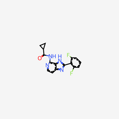 O=C(Nc1nccc2nc(-c3c(F)cccc3F)[nH]c12)C1CC1